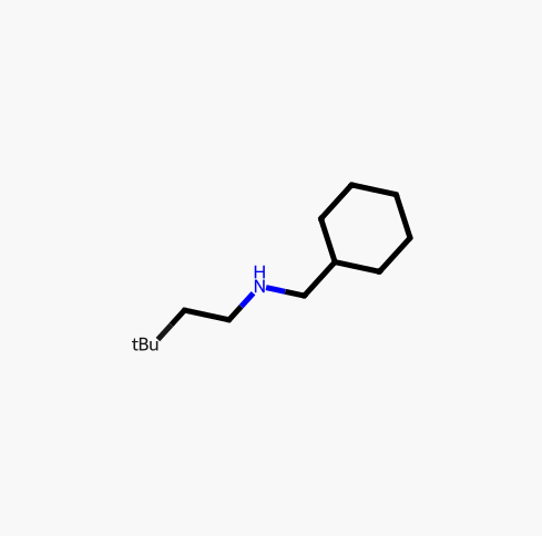 CC(C)(C)CCNCC1CCCCC1